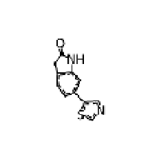 O=C1Cc2ccc(-c3cncs3)cc2N1